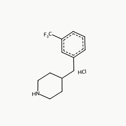 Cl.FC(F)(F)c1cccc(CC2CCNCC2)c1